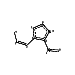 C=Nc1sccc1/C=C\C